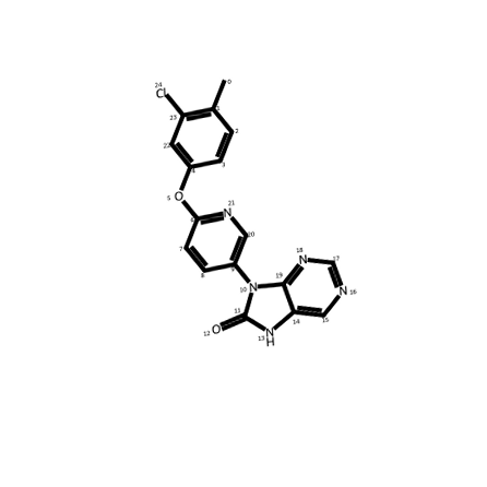 Cc1ccc(Oc2ccc(-n3c(=O)[nH]c4cncnc43)cn2)cc1Cl